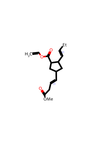 C=COC(=O)C1CC(/C=C/CC(=O)OC)CC1/C=C/CC